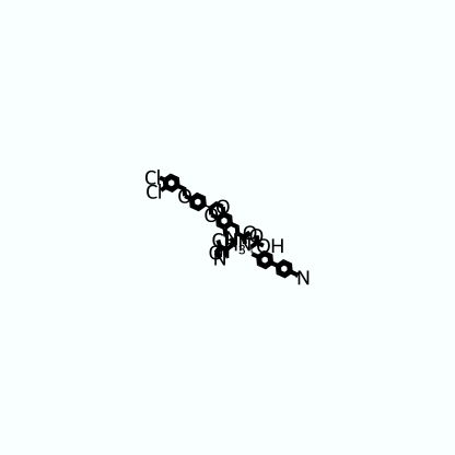 Cc1oncc1CN1Cc2cc3c(cc2CC1C(=O)N[C@@H](Cc1ccc(-c2ccc(C#N)cc2)cc1)C(=O)O)OC[C@H](c1ccc(OCc2ccc(Cl)c(Cl)c2)cc1)O3